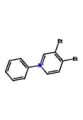 CCc1cc[n+](-c2ccccc2)cc1CC